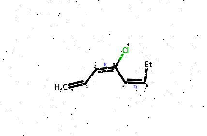 C=C/C=C(Cl)\C=C/CC